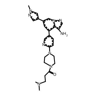 CN(C)CCC(=O)N1CCN(c2ccc(-c3cc(-c4cnn(C)c4)cn4ncc(N)c34)cn2)CC1